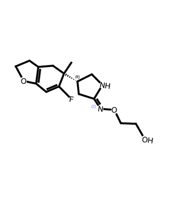 CC1([C@@H]2CN/C(=N\OCCO)C2)CC2=C(C=C1F)OCC2